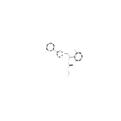 CCNC(=O)OC(Cn1nnc(-c2ccccn2)n1)c1ccccc1Cl